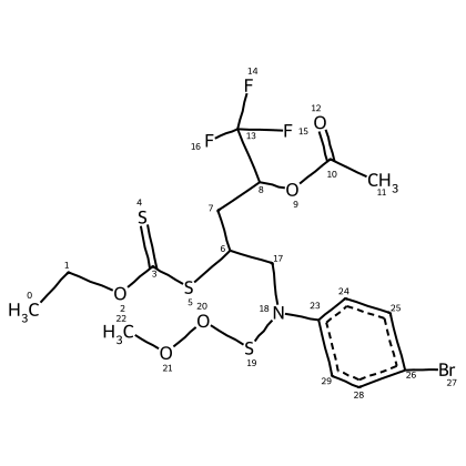 CCOC(=S)SC(CC(OC(C)=O)C(F)(F)F)CN(SOOC)c1ccc(Br)cc1